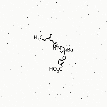 C\C=C/C=C(F)\C=C\c1cnc(N2CCC(CCOc3cccc(CC(=O)O)c3)(C(C)CC)CC2)s1